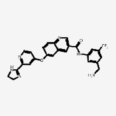 NCc1cc(NC(=O)c2cnc3ccc(Oc4ccnc(C5=NCCN5)c4)cc3c2)cc(C(F)(F)F)c1